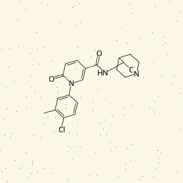 Cc1cc(-n2cc(C(=O)NC3CN4CCC3CC4)ccc2=O)ccc1Cl